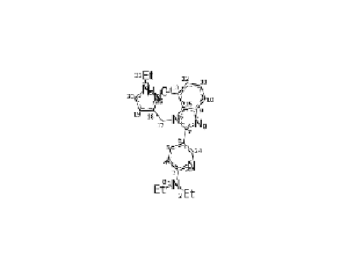 CCN(CC)c1ccc(-c2nc3cccc(C)c3n2Cc2ccn(CC)n2)cn1